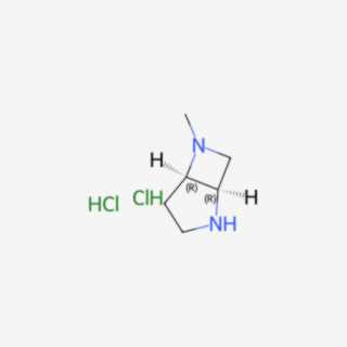 CN1C[C@H]2NCC[C@H]21.Cl.Cl